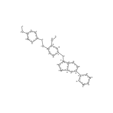 COc1ccc(COc2ccc(Cn3cnc4cc(-c5cncnc5)ccc43)cc2OC)cn1